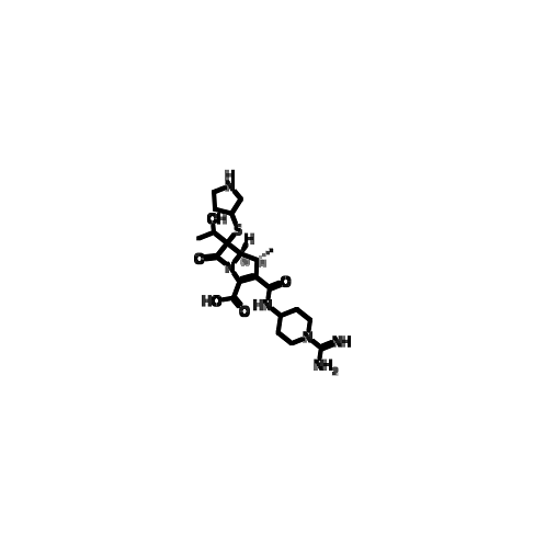 CC(O)C1(SC2CCNC2)C(=O)N2C(C(=O)O)=C(C(=O)NC3CCN(C(=N)N)CC3)[C@@H](C)[C@H]21